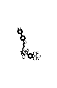 CC1(C)C(=O)N(c2ccc(C#N)c(C(F)(F)F)c2)C(=S)N1CCCOc1ccc(-c2ccncc2)cc1